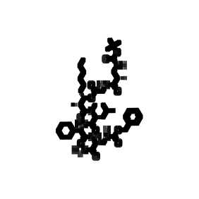 CCCCCC[C@H](OC(=O)CNC(=O)[C@@H](C)CNC(=O)OC(C)(C)C)[C@@H](C)C(=O)N(C)[C@@H](CC(C)C)C(=O)N[C@H](C(=O)N[C@@H](CNC(=O)OCc1ccccc1)C(N)=O)C1CCCCC1